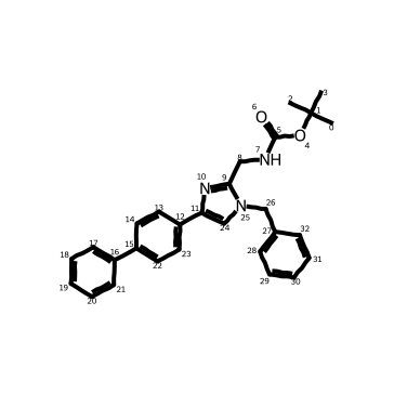 CC(C)(C)OC(=O)NCc1nc(-c2ccc(-c3ccccc3)cc2)cn1Cc1ccccc1